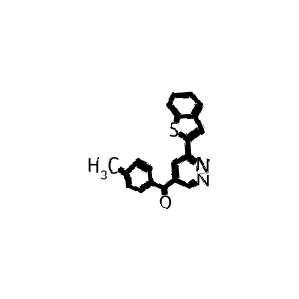 Cc1ccc(C(=O)c2cnnc(-c3cc4ccccc4s3)c2)cc1